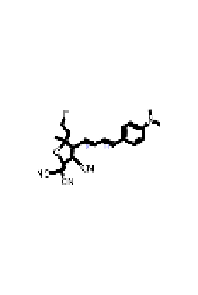 CN(C)c1ccc(/C=C/C=C/C2=C(C#N)C(=C(C#N)C#N)OC2(C)CCF)cc1